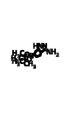 CC1(C)OB(c2ccc3c(N)n[nH]c3c2)OC1(C)C